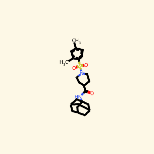 Cc1ccc(S(=O)(=O)N2CCC(C(=O)NC34CC5CC(CC(C5)C3)C4)CC2)c(C)c1